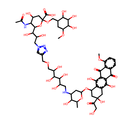 COc1cccc2c1C(=O)c1c(O)c3c(c(O)c1C2=O)CC(O)(C(=O)CO)CC3OC1CC(NCC(O)C(O)C(O)C(O)COCc2cn(CC(O)C(O)C3OC(OCC4CC(OC)C(O)C(O)C4O)(C(=O)O)CC(O)C3NC(C)=O)nn2)C(O)C(C)O1